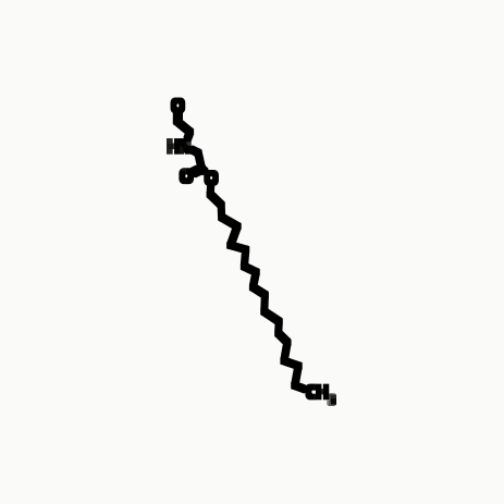 CCCCCCCCCCCCCCCCCCOC(=O)CNCC=O